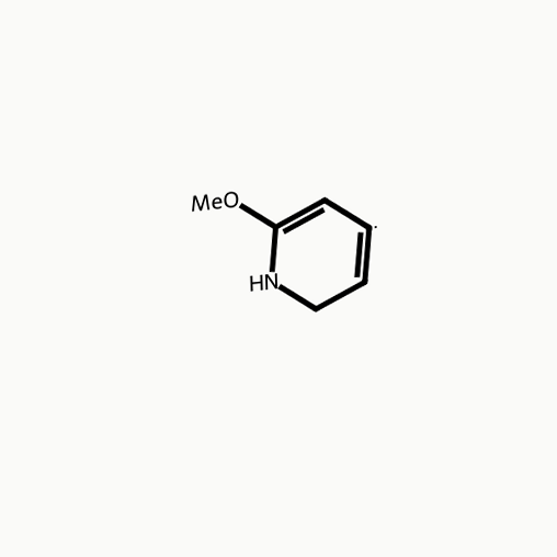 COC1=C[C]=CCN1